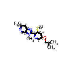 C=C(C)COc1cnc(-c2nc3cc(C(F)(F)F)ncc3n2C)c(SCC)c1